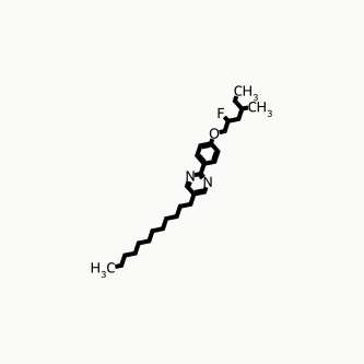 CCCCCCCCCCCCc1cnc(-c2ccc(OCC(F)CC(C)CC)cc2)nc1